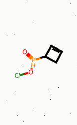 O=[PH](OCl)C1C=CC1